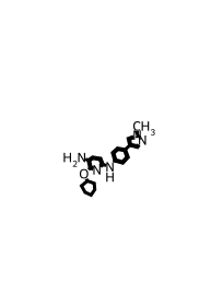 Cn1cc(-c2ccc(Nc3ccc(N)c(OC4CCCCC4)n3)cc2)cn1